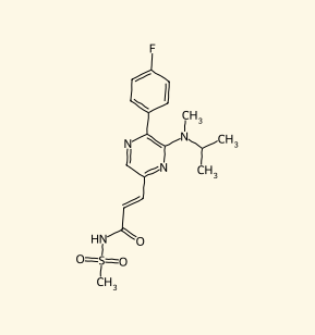 CC(C)N(C)c1nc(/C=C/C(=O)NS(C)(=O)=O)cnc1-c1ccc(F)cc1